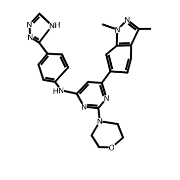 Cc1nn(C)c2cc(-c3cc(Nc4ccc(-c5nnc[nH]5)cc4)nc(N4CCOCC4)n3)ccc12